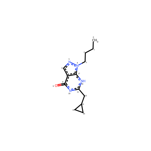 CCCCn1ncc2c(=O)nc(CC3CC3)[nH]c21